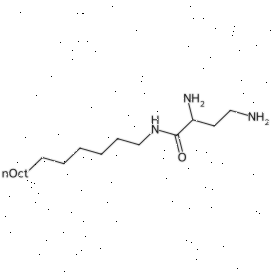 CCCCCCCCCCCCCCNC(=O)C(N)CCN